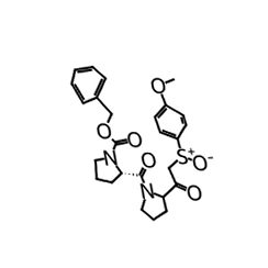 COc1ccc([S+]([O-])CC(=O)C2CCCN2C(=O)[C@@H]2CCCN2C(=O)OCc2ccccc2)cc1